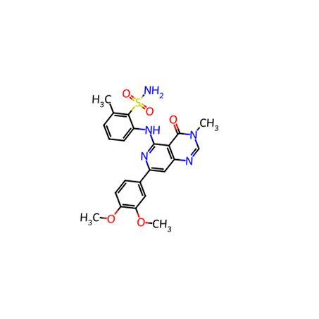 COc1ccc(-c2cc3ncn(C)c(=O)c3c(Nc3cccc(C)c3S(N)(=O)=O)n2)cc1OC